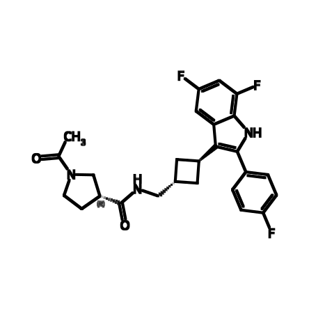 CC(=O)N1CC[C@@H](C(=O)NC[C@H]2C[C@H](c3c(-c4ccc(F)cc4)[nH]c4c(F)cc(F)cc43)C2)C1